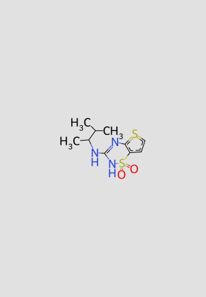 CC(C)C(C)NC1=Nc2sccc2S(=O)(=O)N1